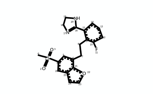 CS(=O)(=O)c1cc(CCc2c(F)cccc2C2=NCCN2)c2occc2c1